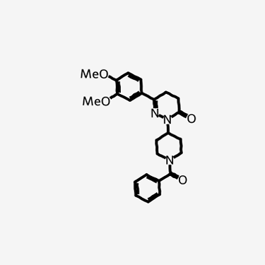 COc1ccc(C2=NN(C3CCN(C(=O)c4ccccc4)CC3)C(=O)CC2)cc1OC